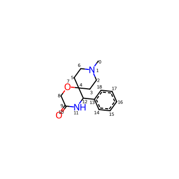 CN1CCC2(CC1)OCC(=O)NC2c1ccccc1